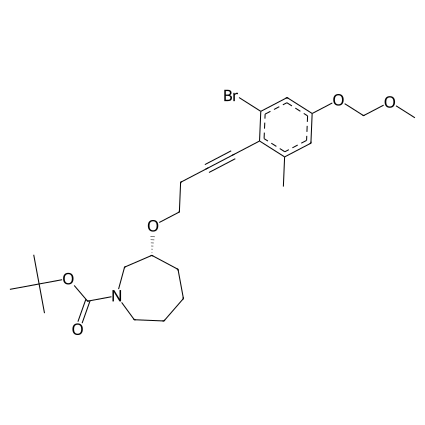 COCOc1cc(C)c(C#CCCO[C@@H]2CCCCN(C(=O)OC(C)(C)C)C2)c(Br)c1